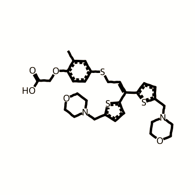 Cc1cc(SCC=C(c2ccc(CN3CCOCC3)s2)c2ccc(CN3CCOCC3)s2)ccc1OCC(=O)O